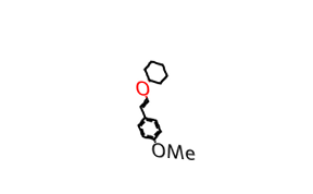 COc1ccc(C=COC2CCCCC2)cc1